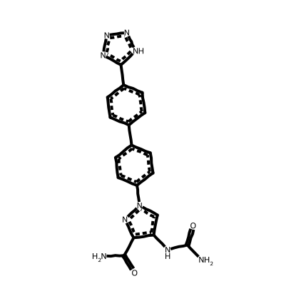 NC(=O)Nc1cn(-c2ccc(-c3ccc(-c4nnn[nH]4)cc3)cc2)nc1C(N)=O